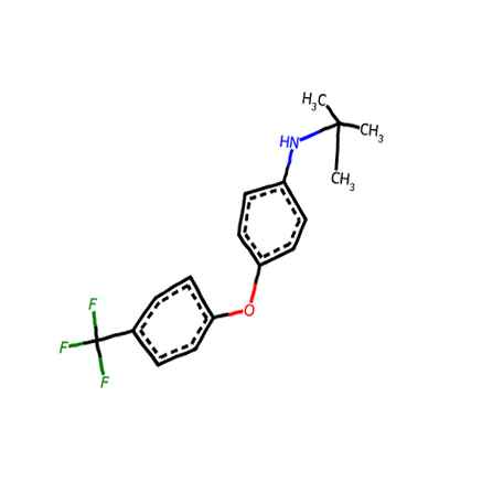 CC(C)(C)Nc1ccc(Oc2ccc(C(F)(F)F)cc2)cc1